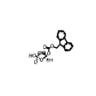 O=C(OCC1c2ccccc2-c2ccccc21)OP(=O)(O)OP(=O)(O)O